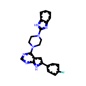 Fc1ccc(-c2cc3c(N4CCN(c5nc6ccccc6[nH]5)CC4)ncnc3[nH]2)cc1